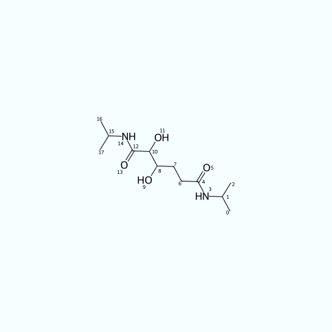 CC(C)NC(=O)CCC(O)C(O)C(=O)NC(C)C